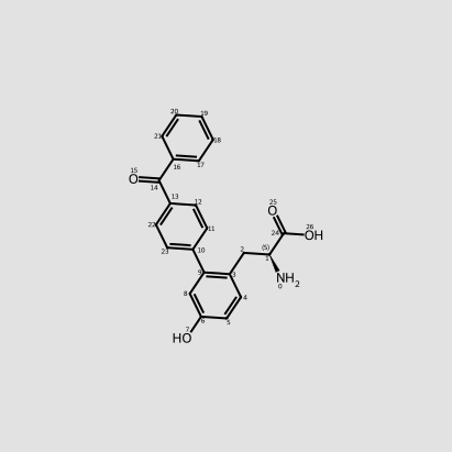 N[C@@H](Cc1ccc(O)cc1-c1ccc(C(=O)c2ccccc2)cc1)C(=O)O